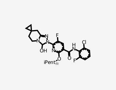 CCC[C@H](C)Oc1nc(N2N=C3CC4(CCN3C2O)CC4)c(F)cc1C(=O)Nc1c(F)cccc1Cl